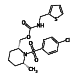 C[C@@H]1CCC[C@H](COC(=O)NCc2cccs2)N1S(=O)(=O)c1ccc(Cl)cc1